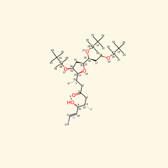 C[C@@H](CC(=O)C[C@H](C)[C@H](O)/C=C/I)[C@@H]1O[C@H]([C@H](CCO[Si](C)(C)C(C)(C)C)O[Si](C)(C)C(C)(C)C)C[C@@H]1O[Si](C)(C)C(C)(C)C